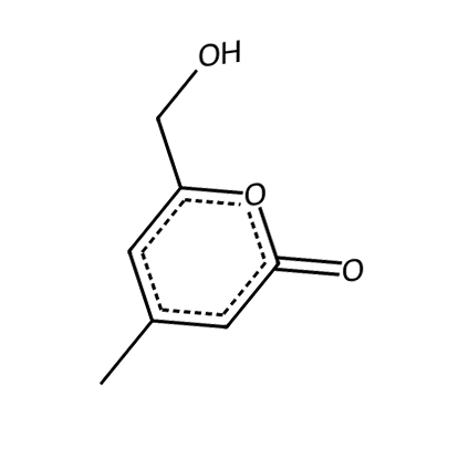 Cc1cc(CO)oc(=O)c1